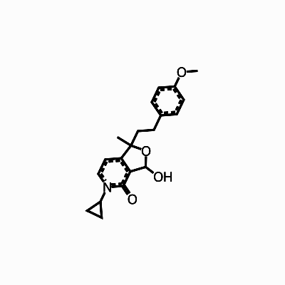 COc1ccc(CCC2(C)OC(O)c3c2ccn(C2CC2)c3=O)cc1